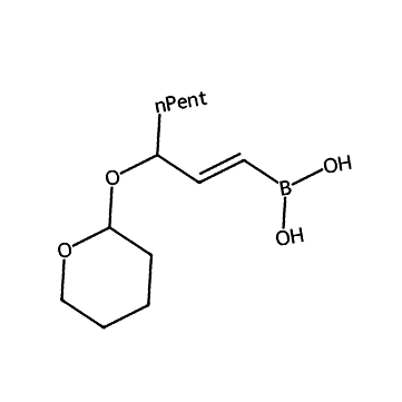 CCCCCC(/C=C/B(O)O)OC1CCCCO1